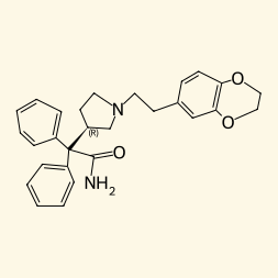 NC(=O)C(c1ccccc1)(c1ccccc1)[C@H]1CCN(CCc2ccc3c(c2)OCCO3)C1